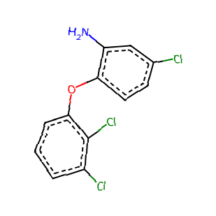 Nc1cc(Cl)ccc1Oc1cccc(Cl)c1Cl